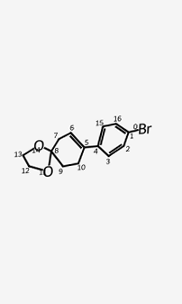 Brc1ccc(C2=CCC3(CC2)OCCO3)cc1